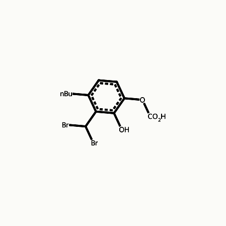 CCCCc1ccc(OC(=O)O)c(O)c1C(Br)Br